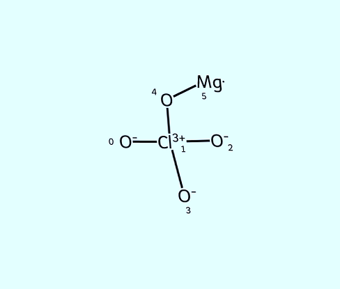 [O-][Cl+3]([O-])([O-])[O][Mg]